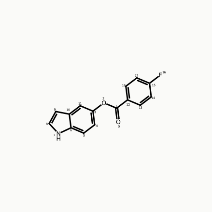 O=C(Oc1ccc2[nH]ccc2c1)c1ccc(F)cc1